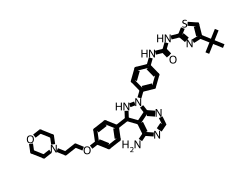 CC(C)(C)c1csc(NC(=O)Nc2ccc(N3NC(c4ccc(OCCN5CCOCC5)cc4)c4c(N)ncnc43)cc2)n1